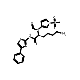 CS(=O)(=O)n1ccc(N(C=O)[C@@H](CCCCN)C(=O)Nc2nc(-c3ccccc3)cs2)c1